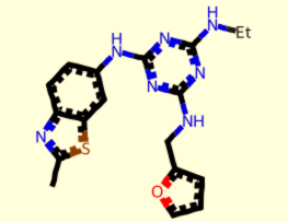 CCNc1nc(NCc2ccco2)nc(Nc2ccc3nc(C)sc3c2)n1